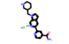 Cl.Cl.NC(=O)c1ccnc(-c2cc3ccn(CC4CCCNC4)c3cn2)c1